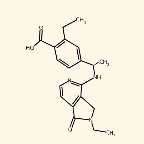 CCc1cc([C@H](C)Nc2nccc3c2CN(CC)C3=O)ccc1C(=O)O